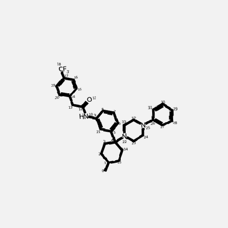 CC1CCC(c2cccc(NC(=O)Cc3ccc(C(F)(F)F)cc3)c2)(N2CCN(c3ccccc3)CC2)CC1